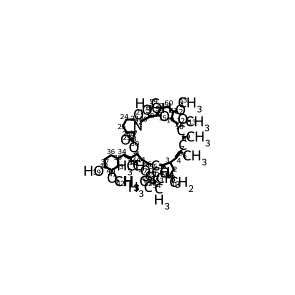 C=CCC1/C=C(/C)CC(C)CC(OC)C2OC(O)(C(=O)C(=O)N3CCCCC3C(=O)OC(/C(C)=C/C3CCC(O)C(OC)C3)C(C)C(O[Si](C)(C)C(C)(C)C)CC1=O)C(C)CC2OC